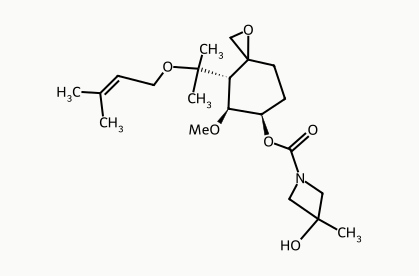 CO[C@H]1[C@H](C(C)(C)OCC=C(C)C)C2(CC[C@H]1OC(=O)N1CC(C)(O)C1)CO2